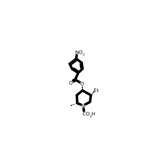 CC[C@@H]1CN(C(=O)O)[C@H](C)C[C@@H]1OC(=O)c1ccc([N+](=O)[O-])cc1